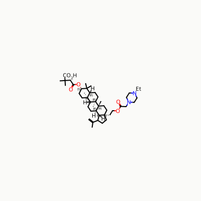 C=C(C)C1CC[C@]2(CCOC(=O)CN3CCN(CC)CC3)CC[C@]3(C)[C@H](CC[C@@H]4[C@@]5(C)CC[C@H](OC(=O)CC(C)(C)C(=O)O)C(C)(C)[C@@H]5CC[C@]43C)[C@@H]12